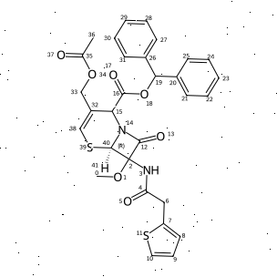 COC1(NC(=O)Cc2cccs2)C(=O)N2C(C(=O)OC(c3ccccc3)c3ccccc3)C(COC(C)=O)=CS[C@@H]21